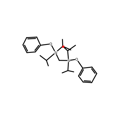 CC(C)[Si](C[Si](Oc1ccccc1)(C(C)C)C(C)C)(Oc1ccccc1)C(C)C